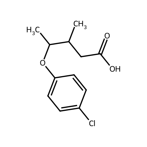 CC(CC(=O)O)C(C)Oc1ccc(Cl)cc1